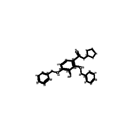 O=C(CC1CCCC1)c1ccc(OCc2ccccc2)c(I)c1OCc1ccccc1